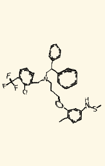 CSNc1ccc(C)c(OCCCN(Cc2cccc(C(F)(F)F)c2Cl)CC(c2ccccc2)c2ccccc2)c1